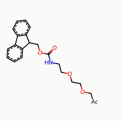 CC(=O)COCCOCCNC(=O)OCC1c2ccccc2-c2ccccc21